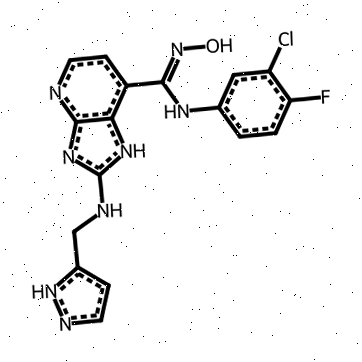 O/N=C(\Nc1ccc(F)c(Cl)c1)c1ccnc2nc(NCc3ccn[nH]3)[nH]c12